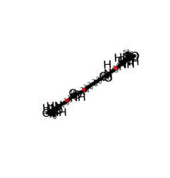 Cc1cc(=O)nc(NC(=O)NCCCCCCNC(=O)OCCCCCCCCCCCCOC(=O)NCCCCCCNC(=O)Nc2nc(=O)cc(C)[nH]2)[nH]1